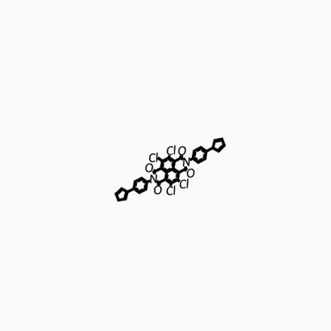 O=C1c2c(Cl)c(Cl)c3c4c(c(Cl)c(Cl)c(c24)C(=O)N1c1ccc(C2=CCC=C2)cc1)C(=O)N(c1ccc(C2C=CC=C2)cc1)C3=O